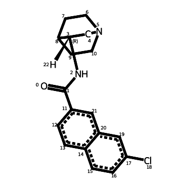 O=C(N[C@H]1CN2CCC1CC2)c1ccc2ccc(Cl)cc2c1